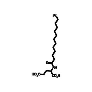 CC(C)CCCCCCCCCCCC(=O)NC(CCC(=O)O)C(=O)O